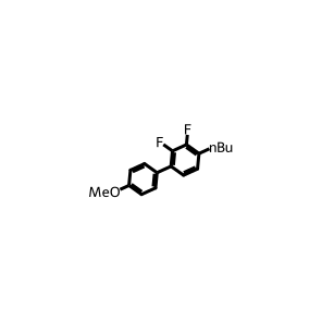 CCCCc1ccc(-c2ccc(OC)cc2)c(F)c1F